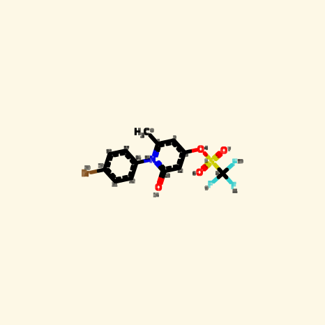 Cc1cc(OS(=O)(=O)C(F)(F)F)cc(=O)n1-c1ccc(Br)cc1